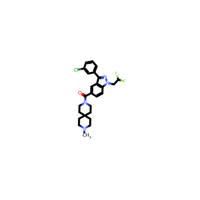 CN1CCC2(CC1)CCN(C(=O)c1ccc3c(c1)c(-c1cccc(Cl)c1)nn3CC(F)F)CC2